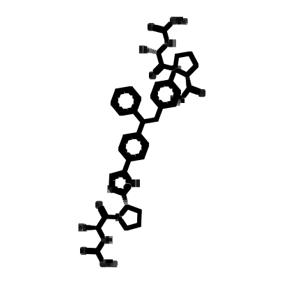 CC[C@H](NC(=O)OC)C(=O)N1CCC[C@H]1c1ncc(-c2ccc(C(Cc3ccc([N+]4(C(=O)[C@H](CC)NC(=O)OC)CCC[C@H]4C(N)=O)cc3)c3ccccc3)cc2)[nH]1